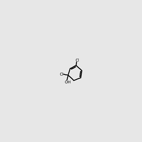 OC1(Cl)C=C(Cl)C=CC1